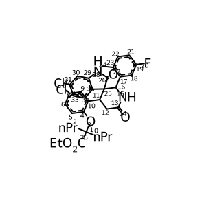 CCCC(CCC)(Oc1ccc(Cl)cc1C1CC(=O)NC(c2cc(F)ccc2C)C12C(=O)Nc1cc(Cl)ccc12)C(=O)OCC